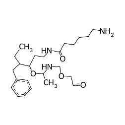 CCC(Cc1ccccc1)C(CCNC(=O)CCCCCN)OC(C)NCOCC=O